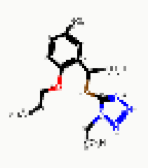 CCCCCCCCCCCCOc1ccc([N+](=O)[O-])cc1C(Sc1nnnn1CC(=O)O)C(=O)O